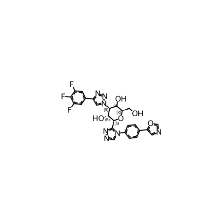 OC[C@H]1O[C@@H](c2nncn2-c2ccc(-c3cnco3)cc2)[C@H](O)[C@@H](n2cc(-c3cc(F)c(F)c(F)c3)nn2)[C@H]1O